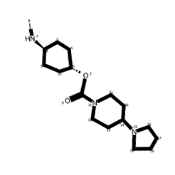 O=C(O[C@H]1CC[C@H](NI)CC1)N1CCC(N2CCCC2)CC1